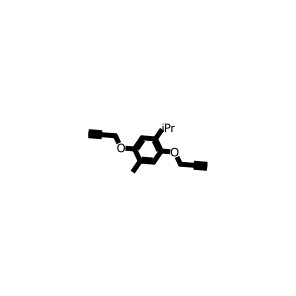 C#CCOc1cc(C(C)C)c(OCC#C)cc1C